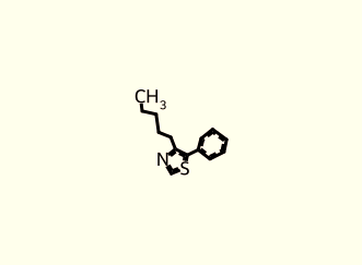 CCCCCc1ncsc1-c1ccccc1